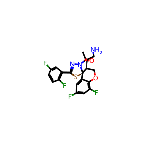 CC(=O)N1N=C(c2cc(F)ccc2F)S[C@@]12c1cc(F)cc(F)c1OC[C@@H]2CCN